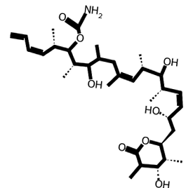 C=C/C=C\[C@H](C)C(OC(N)=O)[C@@H](C)C(O)C(C)C/C(C)=C\[C@H](C)C(O)[C@@H](C)/C=C\[C@@H](O)C[C@@H]1OC(=O)C(C)[C@@H](O)[C@H]1C